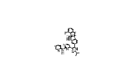 CC(C)c1nc(-c2ccc(F)c(NS(=O)(=O)c3c(F)cccc3F)c2)c(-c2ccnc(Nc3ccncn3)n2)s1